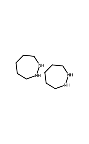 C1CCNNCC1.C1CCNNCC1